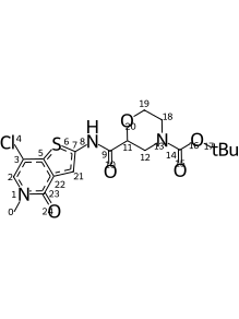 Cn1cc(Cl)c2sc(NC(=O)C3CN(C(=O)OC(C)(C)C)CCO3)cc2c1=O